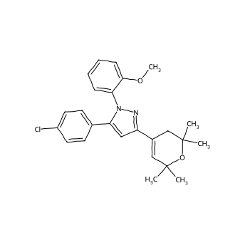 COc1ccccc1-n1nc(C2=CC(C)(C)OC(C)(C)C2)cc1-c1ccc(Cl)cc1